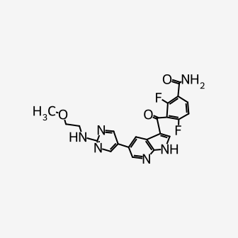 COCCNc1ncc(-c2cnc3[nH]cc(C(=O)c4c(F)ccc(C(N)=O)c4F)c3c2)cn1